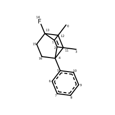 CC1=C(C)C2(c3ccccc3)CCC1(F)CC2